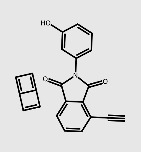 C#Cc1cccc2c1C(=O)N(c1cccc(O)c1)C2=O.c1cc2ccc1-2